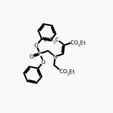 CCOC(=O)CN(C=C(C(=O)OCC)C(=O)OCC)CP(=O)(Oc1ccccc1)Oc1ccccc1